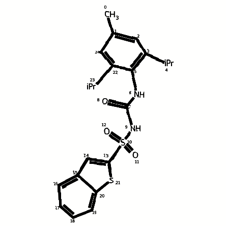 Cc1cc(C(C)C)c(NC(=O)NS(=O)(=O)c2cc3ccccc3s2)c(C(C)C)c1